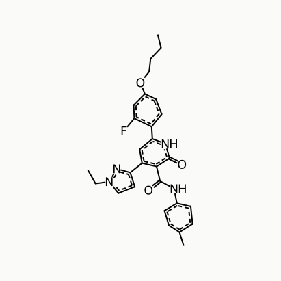 CCCCOc1ccc(-c2cc(-c3ccn(CC)n3)c(C(=O)Nc3ccc(C)cc3)c(=O)[nH]2)c(F)c1